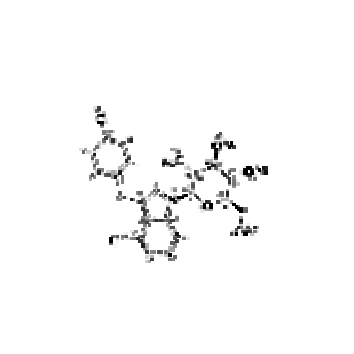 CC(=O)OC[C@H]1O[C@@H](n2cc(Cc3ccc(Cl)cc3)c3c(Cl)cccc32)[C@H](OC(C)=O)[C@@H](OC(C)=O)[C@@H]1OC(C)=O